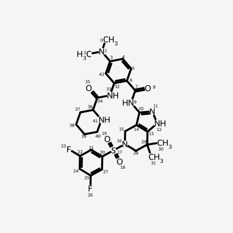 CN(C)c1ccc(C(=O)Nc2n[nH]c3c2CN(S(=O)(=O)c2cc(F)cc(F)c2)CC3(C)C)c(NC(=O)C2CCCCN2)c1